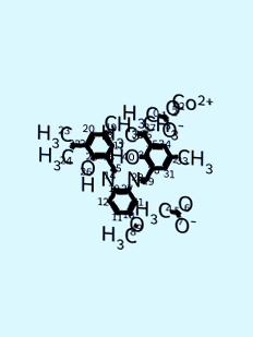 CC(=O)[O-].CC(=O)[O-].COc1ccc(N=Cc2cc(C)cc(C(C)C)c2O)c(N=Cc2cc(C)cc(C(C)C)c2O)c1.[Co+2]